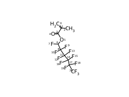 C=C(C)C(=O)OC(F)C(F)(F)C(F)(F)C(F)(F)C(F)(F)C(F)(F)F